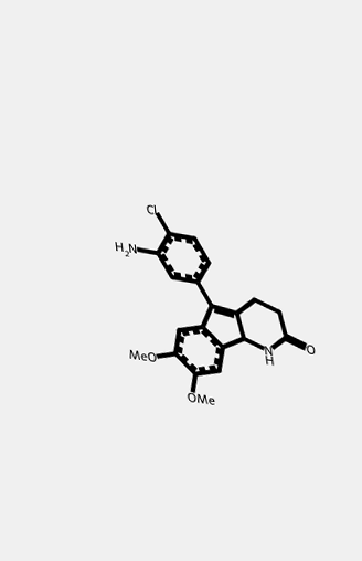 COc1cc2c(cc1OC)C1NC(=O)CCC1=C2c1ccc(Cl)c(N)c1